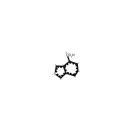 O=C(O)c1cccc2[c]scc12